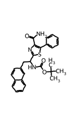 CC(C)(C)OC(=O)NC(Cc1ccc2ccccc2c1)c1nc(C(N)=O)c(-c2ccccc2)s1